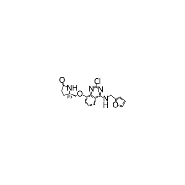 O=C1CC[C@H](COc2cccc3c(NCc4ccco4)nc(Cl)nc23)N1